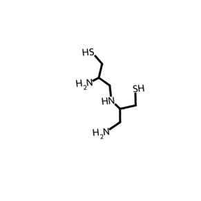 NCC(CS)NCC(N)CS